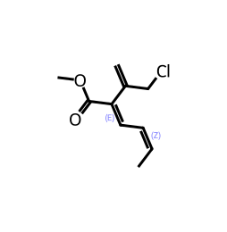 C=C(CCl)/C(=C\C=C/C)C(=O)OC